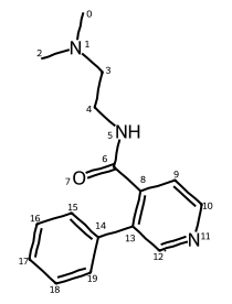 CN(C)CCNC(=O)c1ccn[c]c1-c1ccccc1